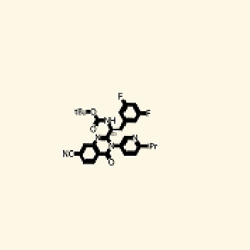 CC(C)c1ccc(-n2c([C@H](Cc3cc(F)cc(F)c3)NC(=O)OC(C)(C)C)nc3cc(C#N)ccc3c2=O)cn1